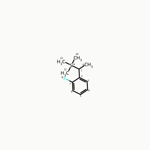 CC(c1ccccc1F)[Si](C)(C)C